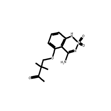 CC(=O)C(C)(C)COc1cccc2c1C(N)=NS(=O)(=O)N2